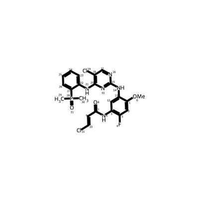 COc1cc(F)c(NC(=O)/C=C/Cl)cc1Nc1ncc(Cl)c(Nc2ccccc2P(C)(C)=O)n1